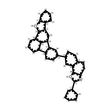 c1ccc(-c2nc3ccc4ccc(-c5ccc6c(c5)-c5cc7c8ccccc8oc7c7cccc-6c57)cc4c3o2)cc1